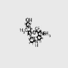 Cc1cn(-c2cccc(Nc3ccc4c(c3)c(C(=O)C(F)(F)F)cn4C)n2)cc1CN1CCC(O)C1